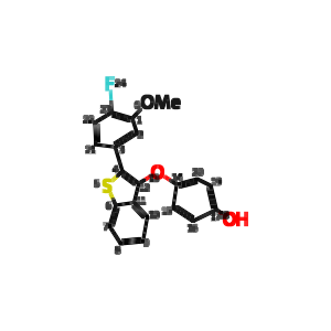 COc1cc(-c2sc3ccccc3c2Oc2ccc(O)cc2)ccc1F